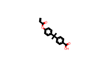 C=CC(=O)Oc1ccc(C(C)(C)c2ccc(C(=O)O)cc2)cc1